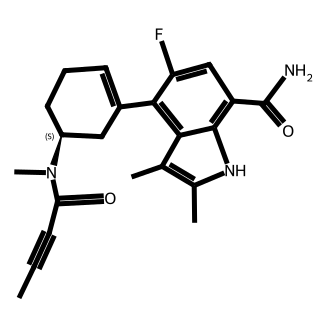 CC#CC(=O)N(C)[C@H]1CCC=C(c2c(F)cc(C(N)=O)c3[nH]c(C)c(C)c23)C1